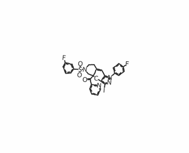 O=C(c1ccccn1)C12Cc3c(I)nn(-c4ccc(F)cc4)c3C=C1CCN(S(=O)(=O)c1cccc(F)c1)C2